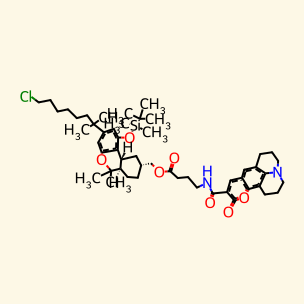 CC(C)(CCCCCCCl)c1cc2c(c(O[Si](C)(C)C(C)(C)C)c1)[C@@H]1C[C@H](COC(=O)CCCNC(=O)c3cc4cc5c6c(c4oc3=O)CCCN6CCC5)CC[C@H]1C(C)(C)O2